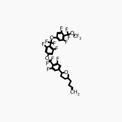 C=CCCC1CCC(c2cc(F)c(C(F)(F)Oc3cc(F)c(C(F)(F)Oc4cc(F)c(C(F)(F)OC(F)(F)F)c(F)c4)c(F)c3)c(F)c2)OC1